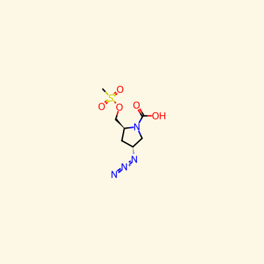 CS(=O)(=O)OC[C@@H]1C[C@@H](N=[N+]=[N-])CN1C(=O)O